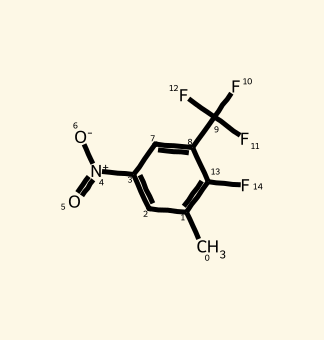 Cc1cc([N+](=O)[O-])cc(C(F)(F)F)c1F